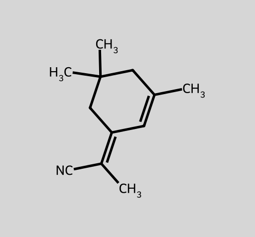 CC1=CC(=C(C)C#N)CC(C)(C)C1